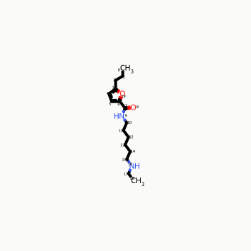 CCCc1ccc(C(=O)NCCCCCCNCC)o1